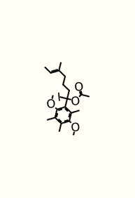 CC=C(C)CCCC(I)(OC(C)=O)c1c(C)c(OC)c(C)c(C)c1OC